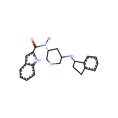 CCN(C(=O)c1cc2ccccc2[nH]1)[C@H]1COCC(N[C@@H]2CCc3ccccc32)C1